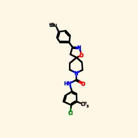 CC(C)(C)c1ccc(C2=NOC3(CCN(C(=O)Nc4ccc(Cl)c(C(F)(F)F)c4)CC3)C2)cc1